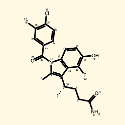 Cc1c([C@@H](C)CCC(N)=O)c2c(F)c(O)ccc2n1C(=O)c1ccc(Cl)c(F)c1